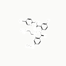 CSc1ccc(C(=O)Nc2ccc(F)cc2C(=O)Nc2ccc(Cl)cn2)c(OCCN)c1